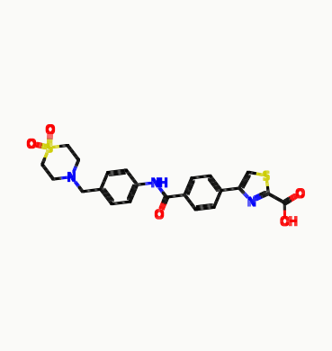 O=C(Nc1ccc(CN2CCS(=O)(=O)CC2)cc1)c1ccc(-c2csc(C(=O)O)n2)cc1